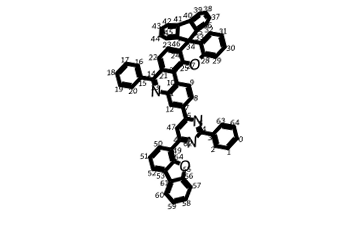 c1ccc(-c2nc(-c3ccc4c(c3)nc(-c3ccccc3)c3ccc5c(c34)Oc3ccccc3C53c4ccccc4-c4ccccc43)cc(-c3cccc4c3oc3ccccc34)n2)cc1